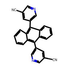 N#Cc1cncc(-c2c3ccccc3c(-c3cncc(C#N)c3)c3ccccc23)c1